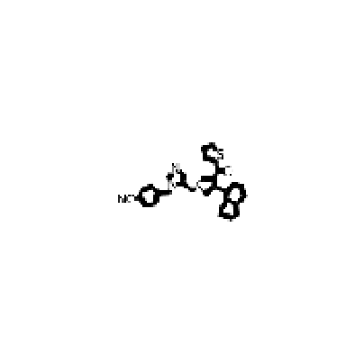 N#Cc1ccc(Cn2cncc2Cn2cc(C(=O)c3cccs3)c(-c3cccc4ccccc34)c2)cc1